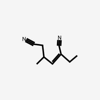 CCC(C#N)=CC(C)CC#N